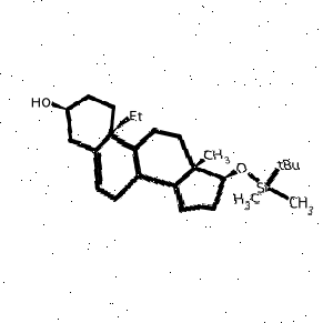 CC[C@]12CC[C@H](O)CC1=CCC1C2CC[C@@]2(C)C1CC[C@@H]2O[Si](C)(C)C(C)(C)C